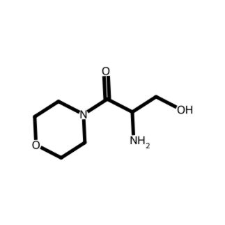 NC(CO)C(=O)N1CCOCC1